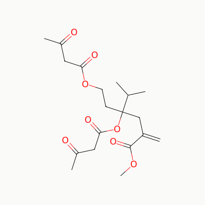 C=C(CC(CCOC(=O)CC(C)=O)(OC(=O)CC(C)=O)C(C)C)C(=O)OC